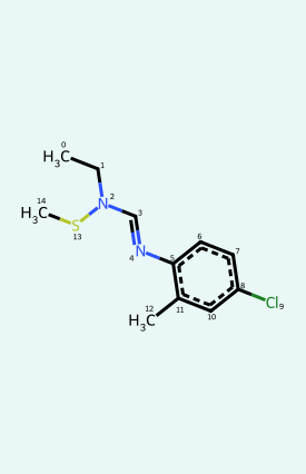 CCN(C=Nc1ccc(Cl)cc1C)SC